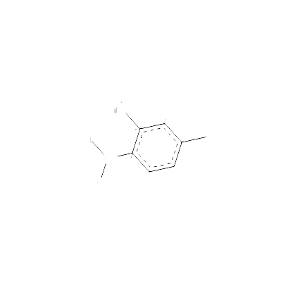 Cc1cc[c]([Ru-]([Cl])[Cl])c(C(C)C)c1